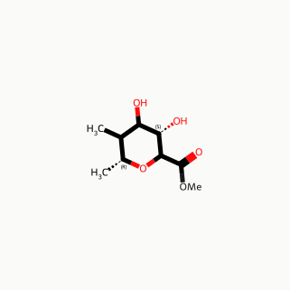 COC(=O)C1O[C@H](C)C(C)C(O)[C@@H]1O